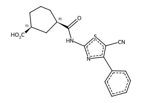 N#Cc1sc(NC(=O)[C@@H]2CCC[C@H](C(=O)O)C2)nc1-c1ccccc1